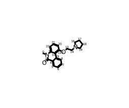 Cn1c(=O)c2ccccc2c2c(OCCN3CCCC3)cccc21